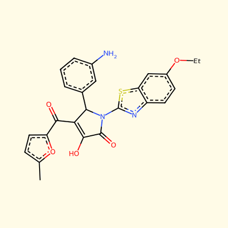 CCOc1ccc2nc(N3C(=O)C(O)=C(C(=O)c4ccc(C)o4)C3c3cccc(N)c3)sc2c1